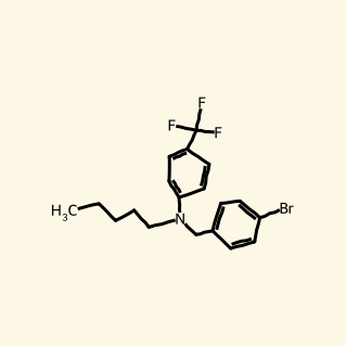 CCCCCN(Cc1ccc(Br)cc1)c1ccc(C(F)(F)F)cc1